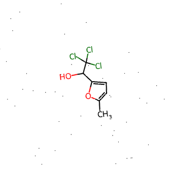 Cc1ccc(C(O)C(Cl)(Cl)Cl)o1